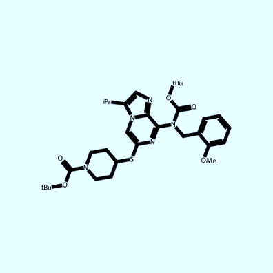 COc1ccccc1CN(C(=O)OC(C)(C)C)c1nc(SC2CCN(C(=O)OC(C)(C)C)CC2)cn2c(C(C)C)cnc12